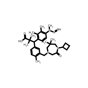 Cc1ccc(C(c2ccc(N(C)N=N)c(C)c2C)C(C)(C)C(=O)O)cc1CN1CC(=O)N(C2CCC2)CC(C)(C)C1